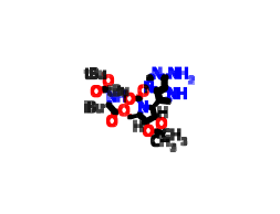 CCC(C)[C@H](NC(=O)OC(C)(C)C)C(=O)OC[C@@H]1[C@H]2OC(C)(C)O[C@H]2[C@H](c2c[nH]c3c(N)ncnc23)N1C(=O)OC(C)(C)C